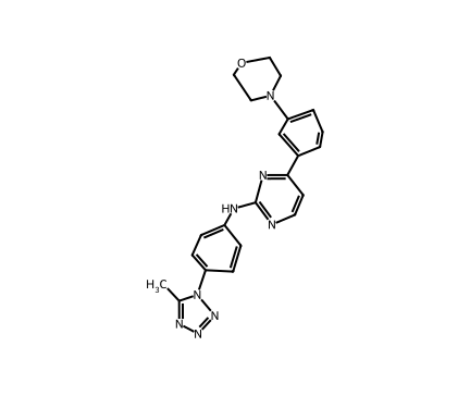 Cc1nnnn1-c1ccc(Nc2nccc(-c3cccc(N4CCOCC4)c3)n2)cc1